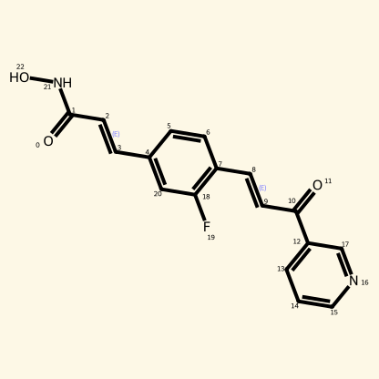 O=C(/C=C/c1ccc(/C=C/C(=O)c2cccnc2)c(F)c1)NO